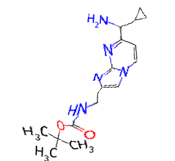 CC(C)(C)OC(=O)NCc1cn2ccc(C(N)C3CC3)nc2n1